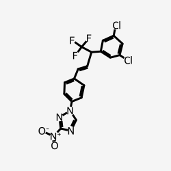 O=[N+]([O-])c1ncn(-c2ccc(/C=C/C(c3cc(Cl)cc(Cl)c3)C(F)(F)F)cc2)n1